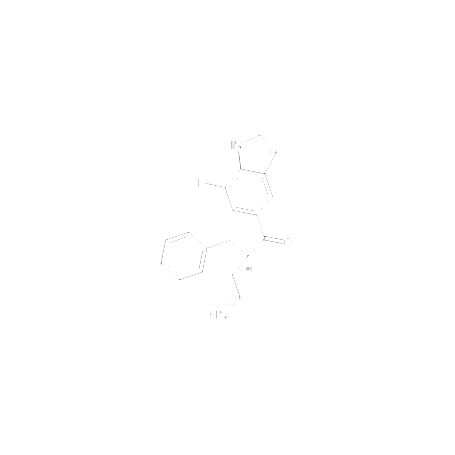 C[C@](CC=N)(Cc1ccccc1)C(=O)c1cc(F)c2[nH]ccc2c1